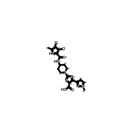 Cc1[nH]c(C(=O)NC2CCN(c3nc(-c4ccn(C)n4)c(C(=O)O)s3)CC2)c(Cl)c1Cl